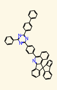 c1ccc(-c2ccc(-c3nc(-c4ccccc4)nc(-c4ccc(-c5nc6c(c7ccccc57)C5(c7ccccc7-c7ccccc75)c5ccccc5-6)cc4)n3)cc2)cc1